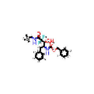 C[Si](C)(C)CNC(=O)C(F)(F)C(O)C(Cc1ccccc1)NC(=O)OCc1ccccc1